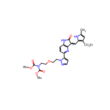 CCOC(=O)c1cc(C)[nH]c1/C=C1\C(=O)Nc2ccc(-c3ccnn3CCOCCN(C(=O)OC(C)(C)C)C(=O)OC(C)(C)C)nc21